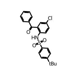 CC(C)(C)c1ccc(S(=O)(=O)Nc2ccc(Cl)cc2C(=O)c2ccccc2)cc1